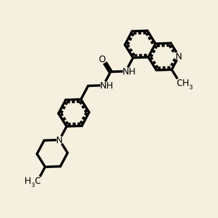 Cc1cc2c(NC(=O)NCc3ccc(N4CCC(C)CC4)cc3)cccc2cn1